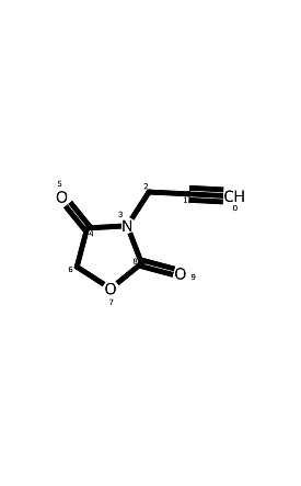 C#CCN1C(=O)COC1=O